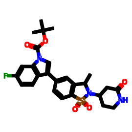 CC1c2cc(-c3cn(C(=O)OC(C)(C)C)c4cc(F)ccc34)ccc2S(=O)(=O)N1C1CCNC(=O)C1